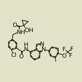 Cc1cc(-n2ncc3c(NC(=O)c4cc(CNC(=O)C5(O)CC5)ccc4Cl)cccc32)ccc1OC(F)(F)F